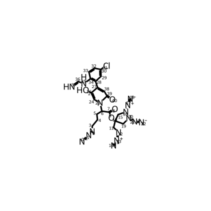 [N-]=[N+]=NCCCC(C(=O)OC(CN=[N+]=[N-])(CN=[N+]=[N-])CN=[N+]=[N-])n1cc(O)c(-c2cc(Cl)ccc2NC=N)cc1=O